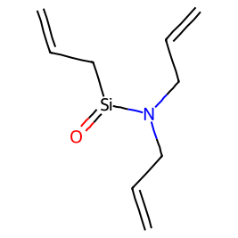 C=CCN(CC=C)[Si](=O)CC=C